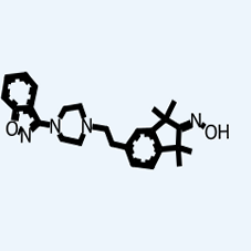 CC1(C)C(=NO)C(C)(C)c2cc(CCN3CCN(c4noc5ccccc45)CC3)ccc21